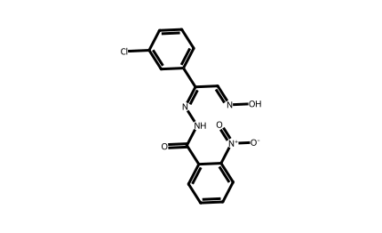 O=C(N/N=C(\C=N\O)c1cccc(Cl)c1)c1ccccc1[N+](=O)[O-]